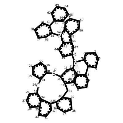 c1ccc(-c2ccccc2N(c2ccc3c(c2)Sc2ccccc2Cc2cccc4cccc(c24)-c2ccccc2C3)c2ccc3c(c2)c2ccccc2n3-c2ccccc2-c2ccccc2)cc1